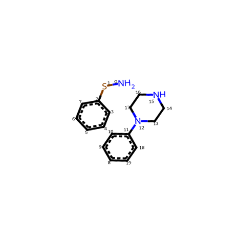 NSc1ccccc1.c1ccc(N2CCNCC2)cc1